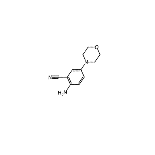 N#Cc1cc(N2CCOCC2)ccc1N